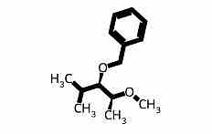 CO[C@@H](C)[C@H](OCc1ccccc1)C(C)C